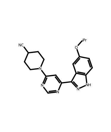 CC(C)Oc1ccc2[nH]nc(-c3cc(N4CCC(C#N)CC4)ncn3)c2c1